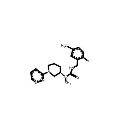 Cc1ccc(F)c(CNC(=O)N(C)[C@@H]2CCCN(c3cccnn3)C2)c1